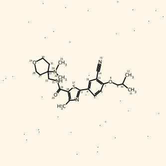 Cc1nc(-c2ccc(OCC(C)C)c(C#N)c2)sc1C(=O)NCC1(N(C)C)CCOCC1